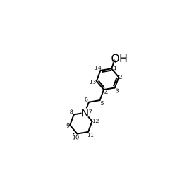 Oc1ccc(CCN2CC[CH]CC2)cc1